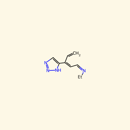 C=C/C(=C\C=N/CC)c1cnn[nH]1